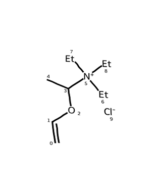 C=COC(C)[N+](CC)(CC)CC.[Cl-]